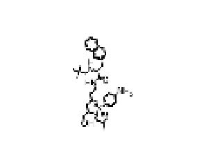 CC(C)CN(C(CO)CCCCNC(=O)[C@H](Cc1ccc2ccccc2c1)NCC(C)(C)C)S(=O)(=O)c1ccc(N)cc1